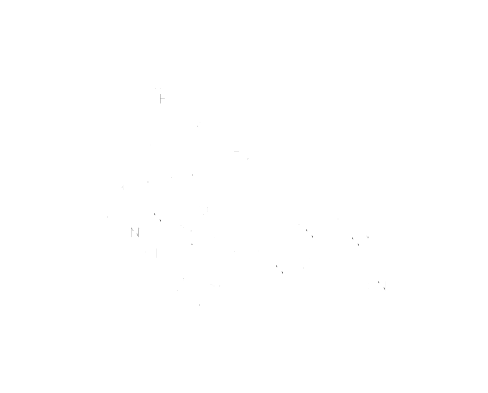 N#Cc1cc(NCC2C[C@H](C(=O)N3N=CCC3c3cc(F)cc(F)c3)C3CC2C3)ncn1